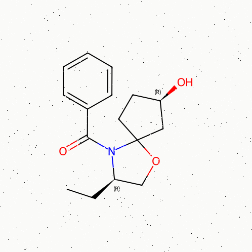 CC[C@@H]1COC2(CC[C@@H](O)C2)N1C(=O)c1ccccc1